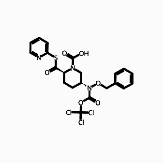 O=C(Sc1ccccn1)[C@@H]1CC[C@@H](N(OCc2ccccc2)C(=O)OC(Cl)(Cl)Cl)CN1C(=O)O